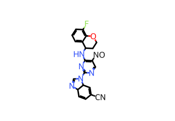 N#CC1=CC2C(C=C1)N=CN2c1ncc(N=O)c(NC2CCOc3c(F)cccc32)n1